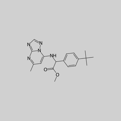 COC(=O)C(Nc1cc(C)nc2ncnn12)c1ccc(C(C)(C)C)cc1